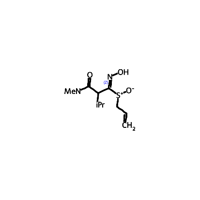 C=CC[S+]([O-])/C(=N\O)C(C(=O)NC)C(C)C